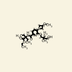 CCOC(=O)C(CC)(CC)NC(=O)c1ccc(N2CC(OC)C2)c(OCC(C)(C)CO)n1